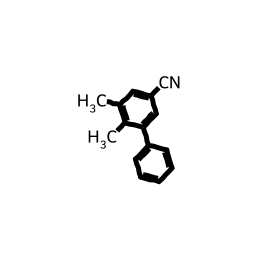 Cc1cc(C#N)cc(-c2ccccc2)c1C